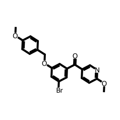 COc1ccc(COc2cc(Br)cc(C(=O)c3ccc(OC)nc3)c2)cc1